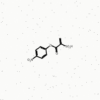 C=C(C(=O)Oc1ccc([N+](=O)[O-])cc1)S(=O)(=O)O